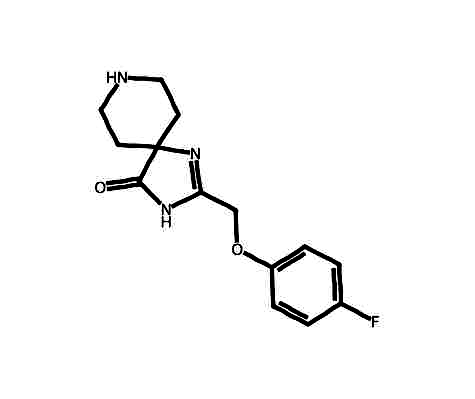 O=C1NC(COc2ccc(F)cc2)=NC12CCNCC2